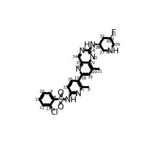 Cc1nc(NS(=O)(=O)c2ccccc2Cl)ccc1-c1cc(C)c2nc(N[C@@H]3CNC[C@@H](F)C3)ncc2n1